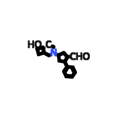 O=CC1CC(N(CC(=O)O)CC2CCC2)CC1c1ccccc1